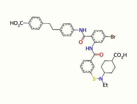 CCN(Sc1cccc(C(=O)Nc2cc(Br)ccc2C(=O)Nc2ccc(CCc3ccc(C(=O)O)cc3)cc2)c1)C1CCC(C(=O)O)CC1